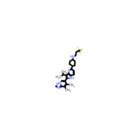 Cc1c(-c2[nH]c3ccc(C4CCC(NCCC(F)(F)F)CC4)nc3c2C(C)C)cn2ncnc2c1C